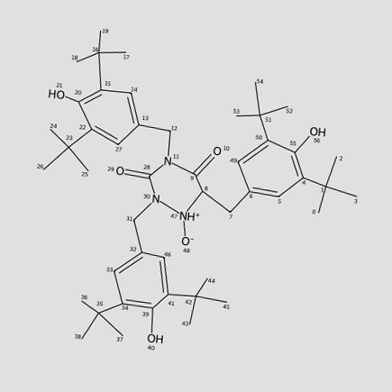 CC(C)(C)c1cc(CC2C(=O)N(Cc3cc(C(C)(C)C)c(O)c(C(C)(C)C)c3)C(=O)N(Cc3cc(C(C)(C)C)c(O)c(C(C)(C)C)c3)[NH+]2[O-])cc(C(C)(C)C)c1O